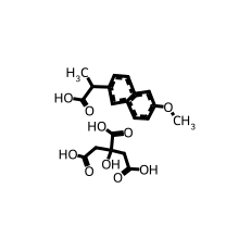 COc1ccc2cc(C(C)C(=O)O)ccc2c1.O=C(O)CC(O)(CC(=O)O)C(=O)O